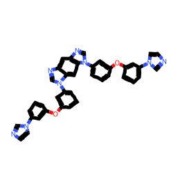 c1cc(Oc2cccc(-n3cnc4cc5ncn(-c6cccc(Oc7cccc(-n8ccnc8)c7)c6)c5cc43)c2)cc(-n2ccnc2)c1